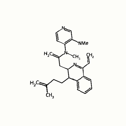 C=CC1=NC(CC(=C)N(C)c2ccncc2NC)C(CCC(=C)C)c2ccccc21